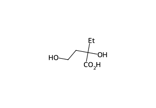 CCC(O)(CCO)C(=O)O